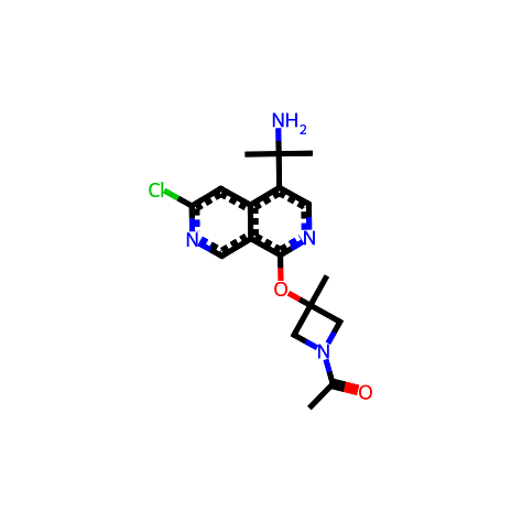 CC(=O)N1CC(C)(Oc2ncc(C(C)(C)N)c3cc(Cl)ncc23)C1